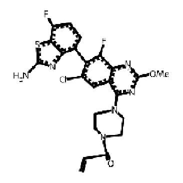 C=CC(=O)N1CCN(c2nc(OC)nc3c(F)c(-c4ccc(F)c5sc(N)nc45)c(Cl)cc23)CC1